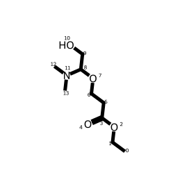 CCOC(=O)CCOC(CO)N(C)C